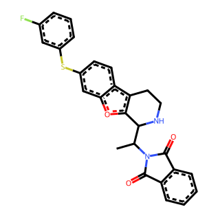 CC(C1NCCc2c1oc1cc(Sc3cccc(F)c3)ccc21)N1C(=O)c2ccccc2C1=O